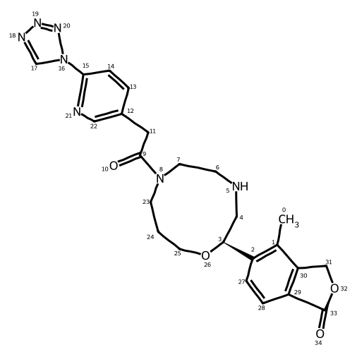 Cc1c([C@@H]2CNCCN(C(=O)Cc3ccc(-n4cnnn4)nc3)CCCO2)ccc2c1COC2=O